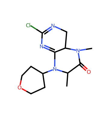 CC1C(=O)N(C)C2CN=C(Cl)N=C2N1C1CCOCC1